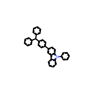 c1ccc(C(c2ccccc2)c2ccc(-c3ccc4c(c3)c3ccccc3n4-c3ccccc3)cc2)cc1